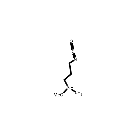 CO[SiH](C)CCCN=C=O